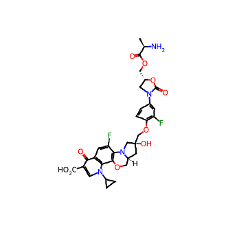 C[C@@H](N)C(=O)OC[C@H]1CN(c2ccc(OC[C@]3(O)C[C@H]4COc5c(c(F)cc6c(=O)c(C(=O)O)cn(C7CC7)c56)N4C3)c(F)c2)C(=O)O1